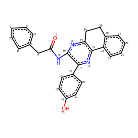 O=C(Cc1ccccc1)Nc1nc2c(nc1-c1ccc(O)cc1)-c1ccccc1CC2